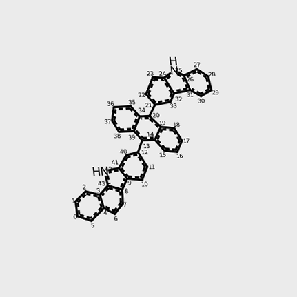 c1ccc2c(c1)ccc1c3ccc(-c4c5ccccc5c(-c5ccc6[nH]c7ccccc7c6c5)c5ccccc45)cc3[nH]c21